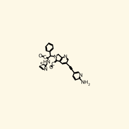 Nc1ccc(C#Cc2cnc3c(c2)C(=C=O)N(C(C(=C=O)Nc2nccs2)c2ccccc2)C3)cn1